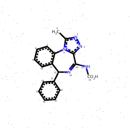 Cc1nnc2n1-c1ccccc1C(c1ccccc1)N=C2NC(=O)O